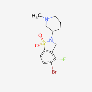 CN1CCCC(N2Cc3c(ccc(Br)c3F)S2(=O)=O)C1